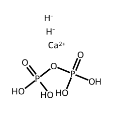 O=P(O)(O)OP(=O)(O)O.[Ca+2].[H-].[H-]